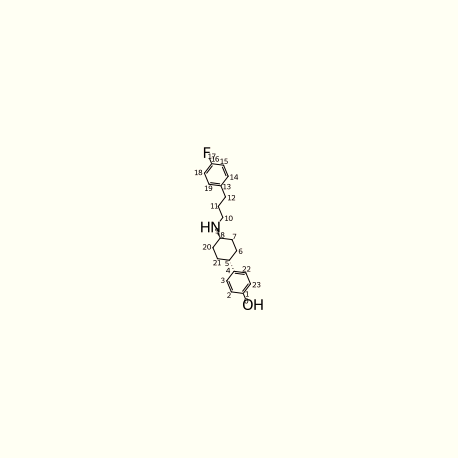 Oc1ccc([C@H]2CC[C@H](NCCCc3ccc(F)cc3)CC2)cc1